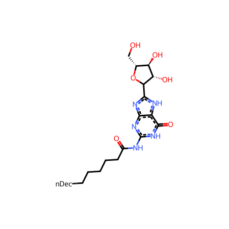 CCCCCCCCCCCCCCCC(=O)Nc1nc2nc(C3O[C@H](CO)[C@@H](O)[C@@H]3O)[nH]c2c(=O)[nH]1